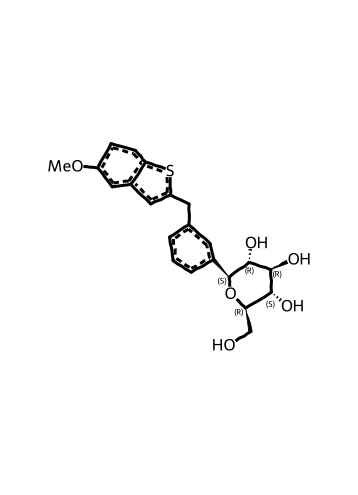 COc1ccc2sc(Cc3cccc([C@@H]4O[C@H](CO)[C@@H](O)[C@H](O)[C@H]4O)c3)cc2c1